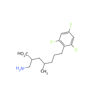 CC(CCCc1c(F)cc(F)cc1F)CC(CN)C(=O)O